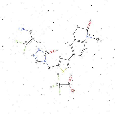 CN1C(=O)CCc2cc(-c3csc(Cn4cnn(CC(CN)=C(F)F)c4=O)c3)ccc21.O=C(O)C(F)(F)F